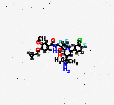 COc1cc(C(=O)NCC(O)(c2cc(C(C)(C)N)cc(-c3ccc(F)c(Cl)c3)n2)C(F)(F)F)ccc1OCC1CC1